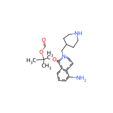 CC(C)(C)OC=O.Nc1cccc2c(=O)n(CC3CCNCC3)ccc12